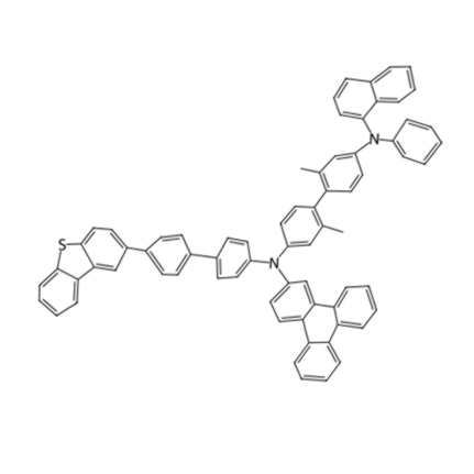 Cc1cc(N(c2ccc(-c3ccc(-c4ccc5sc6ccccc6c5c4)cc3)cc2)c2ccc3c4ccccc4c4ccccc4c3c2)ccc1-c1ccc(N(c2ccccc2)c2cccc3ccccc23)cc1C